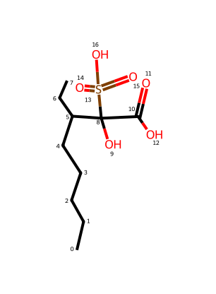 CCCCCC(CC)C(O)(C(=O)O)S(=O)(=O)O